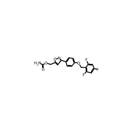 NC(=O)OCc1cc(-c2ccc(OCc3c(F)cc(F)cc3F)cc2)no1